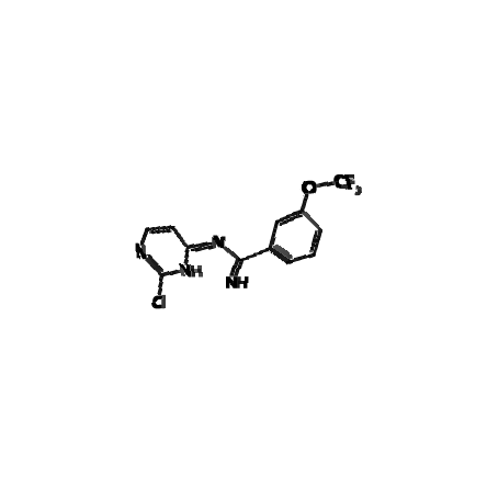 N=C(/N=c1/ccnc(Cl)[nH]1)c1cccc(OC(F)(F)F)c1